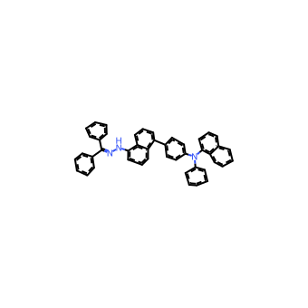 c1ccc(C(=NNc2cccc3c(-c4ccc(N(c5ccccc5)c5cccc6ccccc56)cc4)cccc23)c2ccccc2)cc1